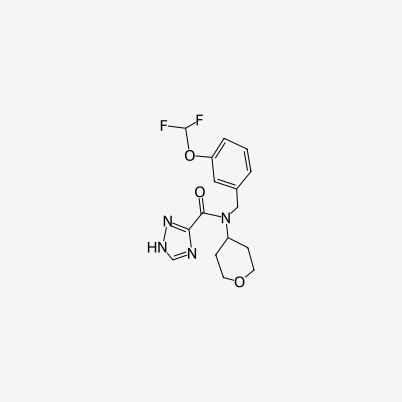 O=C(c1nc[nH]n1)N(Cc1cccc(OC(F)F)c1)C1CCOCC1